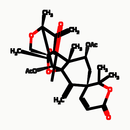 C=C1[C@]23C(=O)O[C@@H](C)[C@]24CO[C@@]1(C)[C@H](OC(C)=O)C1(O4)C(=C)[C@@]2(C=CC(=O)OC2(C)C)C[C@H](OC(C)=O)[C@]13C